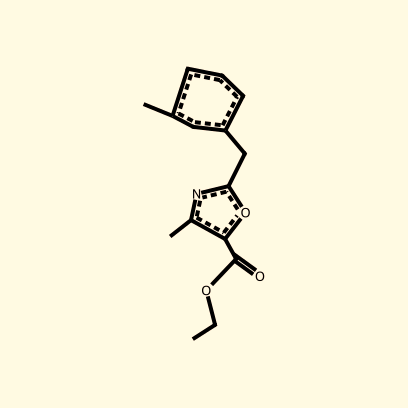 CCOC(=O)c1oc(Cc2cccc(C)c2)nc1C